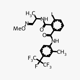 CON=CC(C)NC(=O)c1c(I)cccc1C(=O)Nc1ccc(C(F)(C(F)(F)F)C(F)(F)F)cc1C